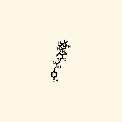 C[C@@H]1[C@H]2C[C@@H](C[C@H]1Nc1cnn(CC(=O)NCc3ccc(O)cc3)c(=O)c1Br)C2(C)C